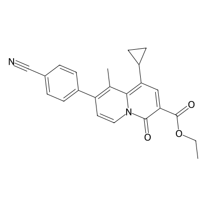 CCOC(=O)c1cc(C2CC2)c2c(C)c(-c3ccc(C#N)cc3)ccn2c1=O